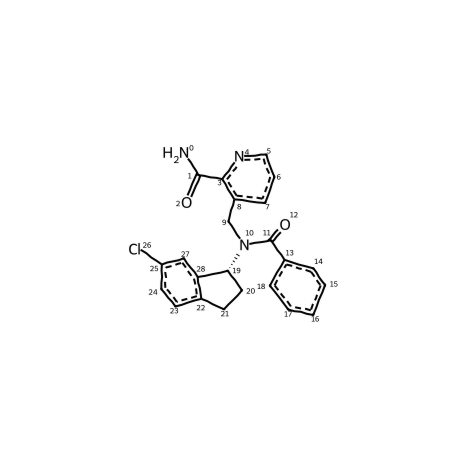 NC(=O)c1ncccc1CN(C(=O)c1ccccc1)[C@@H]1CCc2ccc(Cl)cc21